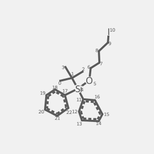 CC(C)(C)[Si](OCCCCI)(c1ccccc1)c1ccccc1